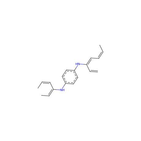 C=C/C(=C\C=C/C)Nc1ccc(NC(/C=C\C)=C/C)cc1